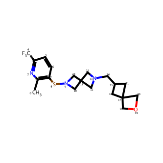 Cc1nc(C(F)(F)F)ccc1SN1CC2(CN(CC3CC4(COC4)C3)C2)C1